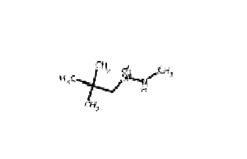 CN[SiH2]CC(C)(C)C